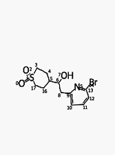 O=S1(=O)CCC(C(O)Cc2cccc(Br)n2)CC1